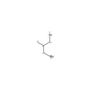 CCC(C)CC(C)CC(C)=O